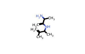 C=C(NC(C)C(=C)C)C(C)N